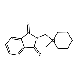 C[Si]1(CN2C(=O)c3ccccc3C2=O)CCCCC1